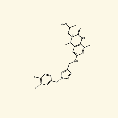 COC(C)C[C@H]1C(=O)Nc2c(cc(NCc3cnn(Cc4ccc(F)c(F)c4)c3)nc2C)N1C